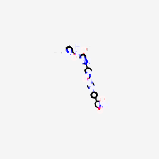 CC(C)Oc1cc2nc(C3CCN(CC(=O)N4CCN(c5ccc(C6CCC(=O)NC6=O)cc5)CC4)CC3)cn2cc1NC(=O)c1cccc(C(F)(F)F)n1